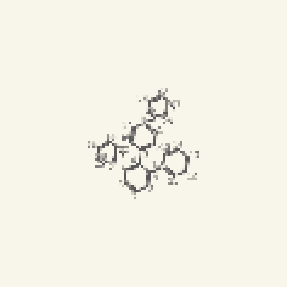 c1ccc(-c2ccccc2-c2ccccc2)cc1.c1cscn1.c1cscn1